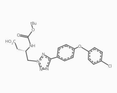 CC(C)(C)OC(=O)N[C@@H](CC(=O)O)Cn1nnc(-c2ccc(Oc3ccc(Cl)cc3)cc2)n1